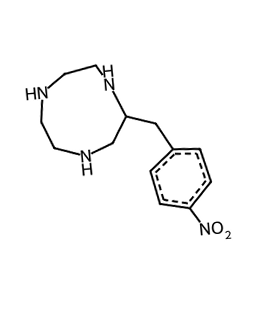 O=[N+]([O-])c1ccc(CC2CNCCNCCN2)cc1